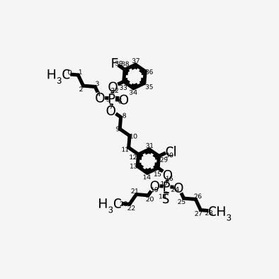 CCCCOP(=O)(OCCCCc1ccc(OP(=S)(OCCCC)OCCCC)c(Cl)c1)Oc1ccccc1F